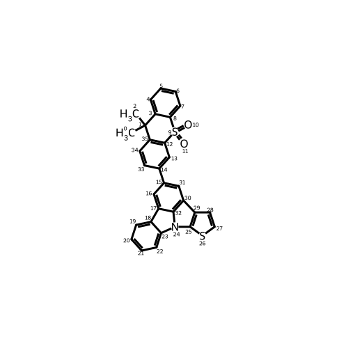 CC1(C)c2ccccc2S(=O)(=O)c2cc(-c3cc4c5ccccc5n5c6sccc6c(c3)c45)ccc21